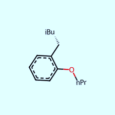 CCCOc1ccccc1C[C@@H](C)CC